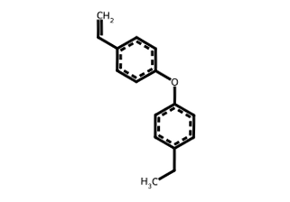 C=Cc1ccc(Oc2ccc(CC)cc2)cc1